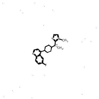 C[C@@H](c1nccn1C)C1CCC(c2ccnc3ccc(F)cc23)CC1